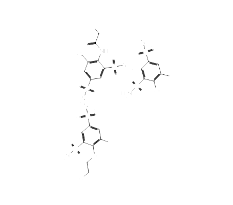 NS(=O)(=O)c1cc(Cl)c(NC(=O)CO)c(S(N)(=O)=O)c1.NS(=O)(=O)c1cc(Cl)c(O)c(S(N)(=O)=O)c1.NS(=O)(=O)c1cc(Cl)c(OCCO)c(S(N)(=O)=O)c1